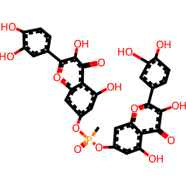 CP(=O)(Oc1cc(O)c2c(=O)c(O)c(-c3ccc(O)c(O)c3)oc2c1)Oc1cc(O)c2c(=O)c(O)c(-c3ccc(O)c(O)c3)oc2c1